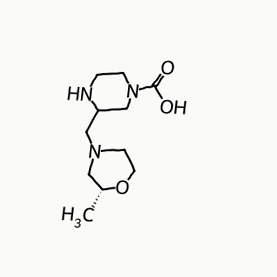 C[C@@H]1CN(CC2CN(C(=O)O)CCN2)CCO1